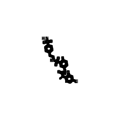 Cc1ccc(NC(=O)[C@H](C)n2ncc(Cl)cc2=O)cc1S(=O)(=O)NCCc1ccc(S(N)(=O)=O)cc1